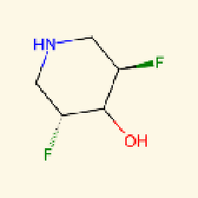 OC1[C@H](F)CNC[C@H]1F